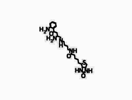 Nc1ccccc1C(=O)CC(N)CNCCCCNC(=O)CCCCC1SCC2NC(=O)NC21